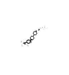 COCOC1CCC(C2CCC(C3(F)C=CC(C(F)(F)C(F)C(F)(F)F)=C(F)C3)CC2)CC1